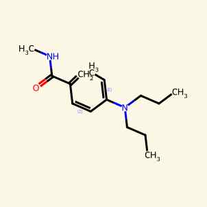 C=C(/C=C\C(=C/C)N(CCC)CCC)C(=O)NC